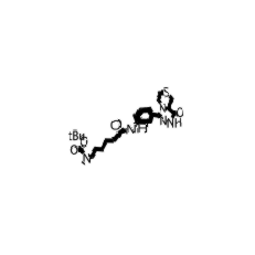 CN(CCCCCC(=O)Nc1cccc(C2=NNC(=O)C3CSCCN23)c1)C(=O)OC(C)(C)C